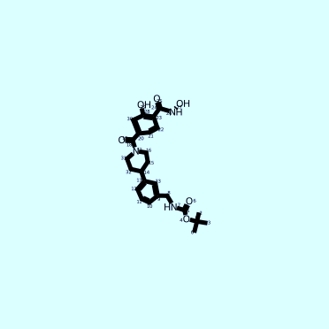 CC(C)(C)OC(=O)NCc1cccc(C2CCN(C(=O)c3ccc(C(=O)NO)c(O)c3)CC2)c1